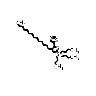 CCCCCCCCCCCCCCc1c[c]([Sn]([CH2]CCC)([CH2]CCC)[CH2]CCC)sc1-c1cncs1